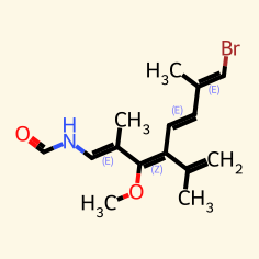 C=C(C)C(/C=C/C(C)=C/Br)=C(OC)/C(C)=C/NC=O